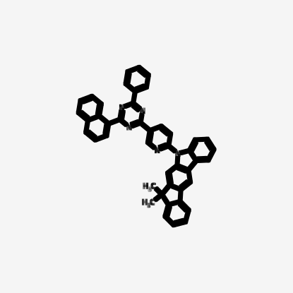 CC1(C)c2ccccc2-c2cc3c4ccccc4n(-c4ccc(-c5nc(-c6ccccc6)nc(-c6cccc7ccccc67)n5)cn4)c3cc21